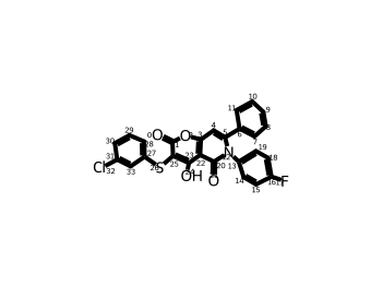 O=c1oc2cc(-c3ccccc3)n(-c3ccc(F)cc3)c(=O)c2c(O)c1Sc1cccc(Cl)c1